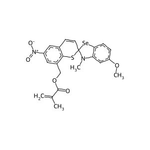 C=C(C)C(=O)OCc1cc([N+](=O)[O-])cc2c1SC1(C=C2)[Se]c2ccc(OC)cc2N1C